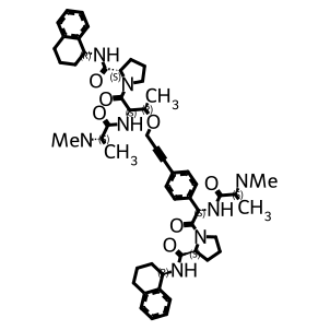 CN[C@@H](C)C(=O)N[C@H](C(=O)N1CCC[C@H]1C(=O)N[C@@H]1CCCc2ccccc21)c1ccc(C#CCO[C@H](C)[C@H](NC(=O)[C@H](C)NC)C(=O)N2CCC[C@H]2C(=O)N[C@@H]2CCCc3ccccc32)cc1